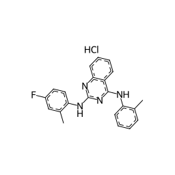 Cc1cc(F)ccc1Nc1nc(Nc2ccccc2C)c2ccccc2n1.Cl